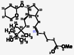 COC(=O)CCC/C=C\CC1CC[C@@H](OC2CCCCO2)[C@@H]1CCC(C)(C)[Si](C)(C)O